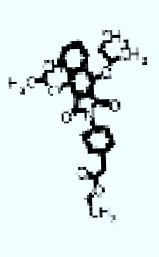 CCOC(=O)Cc1ccc(N2C(=O)c3c(c(OC(C)CC)c4ccccc4c3OC(C)C)C2=O)cc1